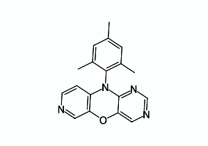 Cc1cc(C)c(N2c3ccncc3Oc3cncnc32)c(C)c1